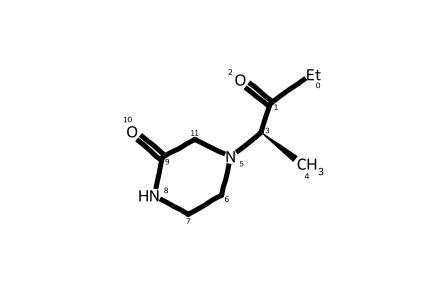 CCC(=O)[C@@H](C)N1CCNC(=O)C1